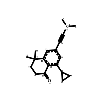 C[SiH](C)C#Cc1cc(C2CC2)c2c(c1)C(C)(C)CCC2=O